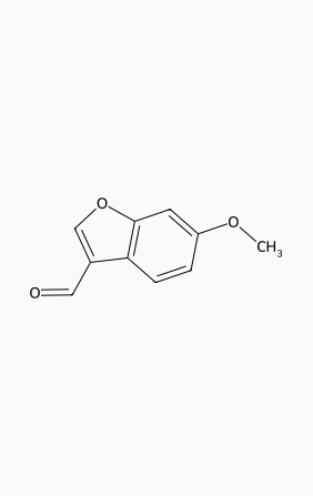 COc1ccc2c(C=O)coc2c1